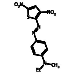 CCN(C)c1ccc(N=Nc2sc([N+](=O)[O-])cc2[N+](=O)[O-])cc1